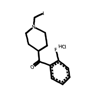 Cl.O=C(c1ccccc1F)C1CCN(CI)CC1